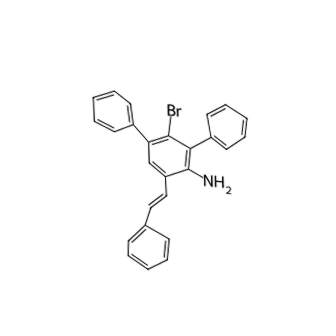 Nc1c(C=Cc2ccccc2)cc(-c2ccccc2)c(Br)c1-c1ccccc1